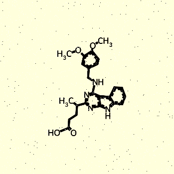 COc1ccc(CNc2nc(C(C)CCC(=O)O)nc3[nH]c4ccccc4c23)cc1OC